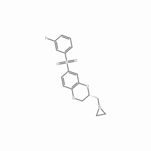 O=S(=O)(c1cccc(F)c1)c1ccc2c(c1)O[C@H](CN1CC1)CO2